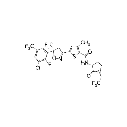 Cc1cc(C2=NO[C@](c3cc(C(F)(F)F)cc(Cl)c3F)(C(F)(F)F)C2)sc1C(=O)N[C@@H]1CCN(CC(F)(F)F)C1=O